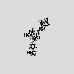 O=C(CCCNCS(=O)(=O)c1cccc(Cl)c1Cl)NCCc1ccc(C2=NCCN2)cc1.O=C(O)C(F)(F)F